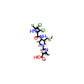 CSCC1CN(c2nc(C)c(C(=O)O)s2)CCC1NC(=O)c1[nH]c(C)c(Cl)c1Cl